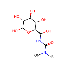 CCCCN(N=O)C(=O)NC(O)[C@H]1OC(O)[C@H](O)[C@@H](O)[C@@H]1O